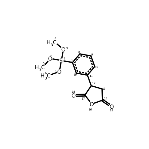 CO[Si](OC)(OC)c1cccc(C2CC(=O)OC2=O)c1